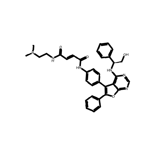 CN(C)CCNC(=O)/C=C/C(=O)Nc1ccc(-c2c(-c3ccccc3)oc3ncnc(N[C@H](CO)c4ccccc4)c23)cc1